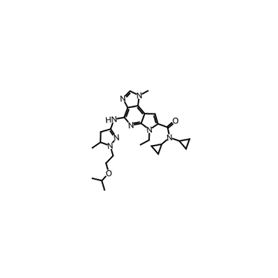 CCn1c(C(=O)N(C2CC2)C2CC2)cc2c3c(ncn3C)c(NC3=NN(CCOC(C)C)C(C)C3)nc21